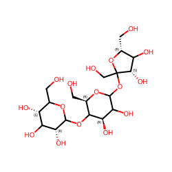 OCC1OC(OC2[C@H](O)C(O)C(OC3(CO)O[C@H](CO)C(O)[C@@H]3O)O[C@@H]2CO)[C@H](O)C(O)[C@@H]1O